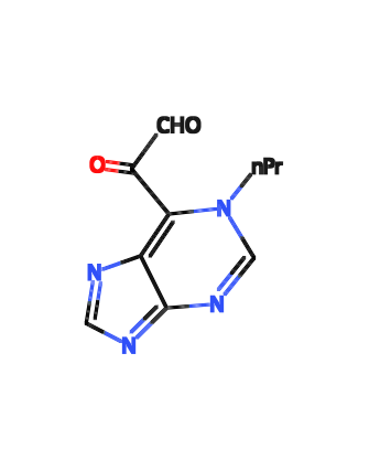 CCCn1cnc2ncnc-2c1C(=O)C=O